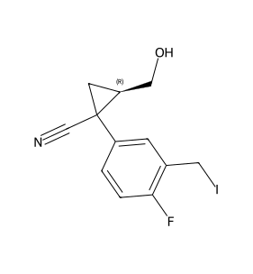 N#CC1(c2ccc(F)c(CI)c2)C[C@H]1CO